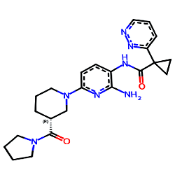 Nc1nc(N2CCC[C@@H](C(=O)N3CCCC3)C2)ccc1NC(=O)C1(c2cccnn2)CC1